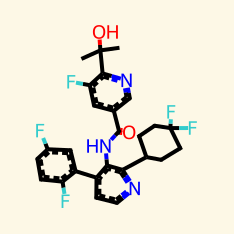 CC(C)(O)c1ncc(C(=O)Nc2c(-c3cc(F)ccc3F)ccnc2C2CCC(F)(F)CC2)cc1F